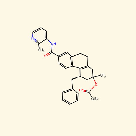 Cc1ncccc1NC(=O)c1ccc2c(c1)CCC1=C2[C@H](Cc2ccccc2)CC(OC(=O)OCC(C)C)(C(F)(F)F)C1